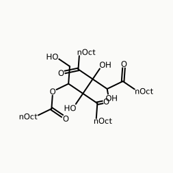 CCCCCCCCC(=O)OC(CO)C(O)(C(=O)CCCCCCCC)C(O)(C(=O)CCCCCCCC)C(O)C(=O)CCCCCCCC